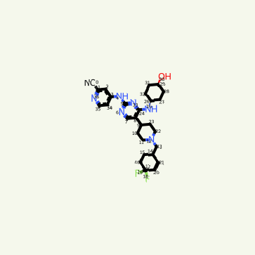 N#Cc1cc(Nc2ncc(C3CCN(CC4CCC(F)(F)CC4)CC3)c(N[C@H]3CC[C@H](O)CC3)n2)ccn1